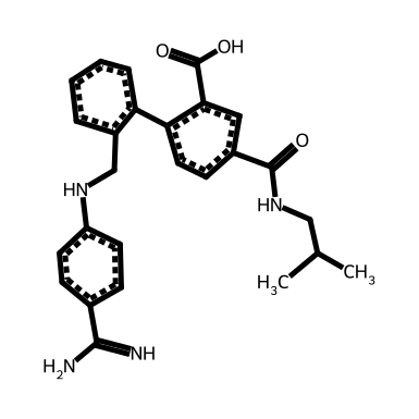 CC(C)CNC(=O)c1ccc(-c2ccccc2CNc2ccc(C(=N)N)cc2)c(C(=O)O)c1